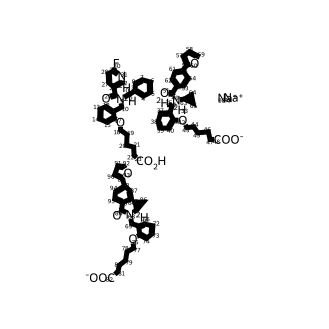 [2H]C([2H])(c1ccccc1)N(Cc1ccccc1OCCCCCC(=O)O)C(=O)c1ccc(F)nc1.[2H]C([2H])(c1ccccc1OCCCCCC(=O)[O-])N(C(=O)c1ccc(-c2ccco2)cc1)C1CC1.[2H]C1(N(Cc2ccccc2OCCCCCC(=O)[O-])C(=O)c2ccc(-c3ccco3)cc2)CC1.[Na+].[Na+]